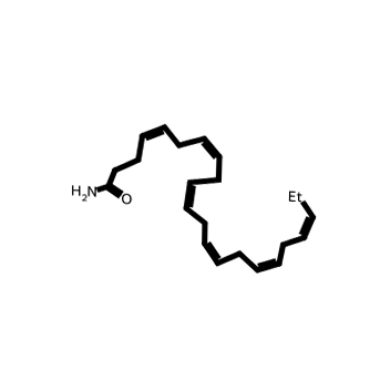 CC/C=C\C/C=C\C/C=C\C/C=C\C/C=C\C/C=C\CCC(N)=O